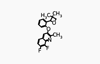 Cc1nc2c(F)c(F)ccc2cc1Oc1ccccc1C1OCC1(C)C